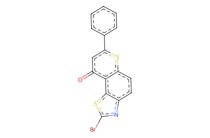 O=c1cc(-c2ccccc2)sc2ccc3nc(Br)sc3c12